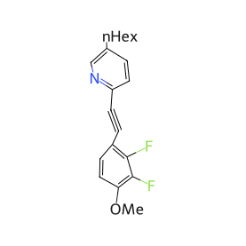 CCCCCCc1ccc(C#Cc2ccc(OC)c(F)c2F)nc1